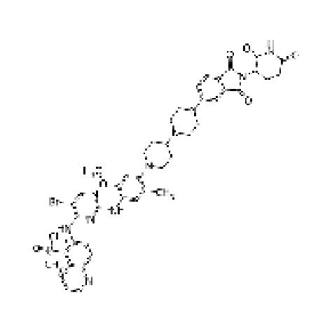 COc1cc(N2CCC(N3CCN(c4ccc5c(c4)C(=O)N(C4CCC(=O)NC4=O)C5=O)CC3)CC2)c(C)cc1Nc1ncc(Br)c(Nc2ccc3nccnc3c2P(C)(C)=O)n1